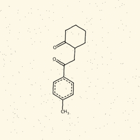 Cc1ccc(C(=O)CC2CCCCC2=O)cc1